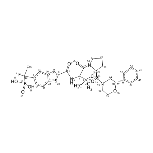 CC(C)(C)C(NC(=O)c1cc2cc(C(F)(F)P(=O)(O)O)ccc2s1)C(=O)N1CCC[C@H]1C(=O)N1CCO[C@@H](c2ccccc2)C1